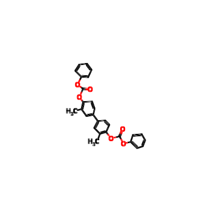 Cc1cc(-c2ccc(OC(=O)Oc3ccccc3)c(C)c2)ccc1OC(=O)Oc1ccccc1